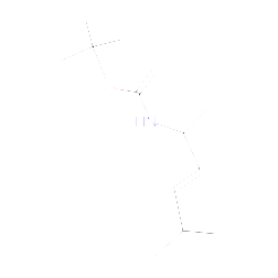 CC(C)/C=C/C(C)NC(=O)OC(C)(C)C